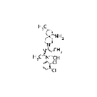 CC1=NC(N2CCC3(CC2)C[C@H](C)C[C@H]3N)=C(C)C(O)N1c1cccc(Cl)c1Cl